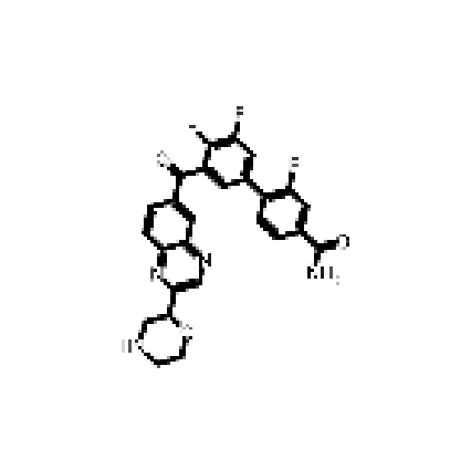 NC(=O)c1ccc(-c2cc(F)c(F)c(C(=O)c3ccc4nc(C5CNCCO5)cnc4c3)c2)c(F)c1